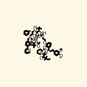 CCC(C)(C)C(=O)C(=O)N1CCCC[C@H]1C(=O)O[C@H](CCc1ccc(OC)c(OC)c1)c1cccc(OCCOC(=O)N[C@H](C(=O)N[C@@H](Cc2ccccc2)[C@@H](O)CN(Cc2ccc(-c3ccccn3)cc2)NC(=O)[C@@H](NC(C)=O)C(C)(C)C)C(C)(C)C)c1